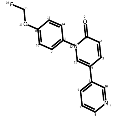 O=c1ccc(-c2cccnc2)cn1-c1ccc(OCF)cc1